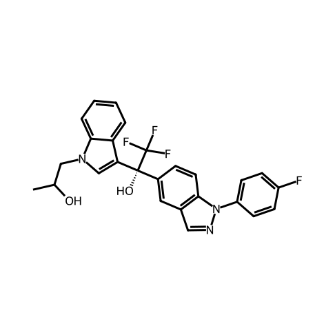 CC(O)Cn1cc([C@](O)(c2ccc3c(cnn3-c3ccc(F)cc3)c2)C(F)(F)F)c2ccccc21